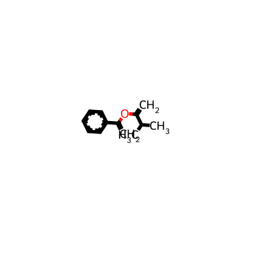 C=C(OC(=C)C(C)C)c1ccccc1